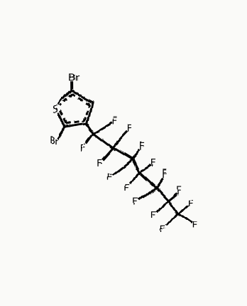 FC(F)(F)C(F)(F)C(F)(F)C(F)(F)C(F)(F)C(F)(F)C(F)(F)c1cc(Br)sc1Br